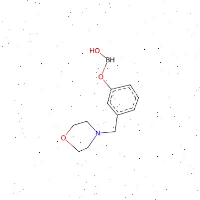 OBOc1cccc(CN2CCOCC2)c1